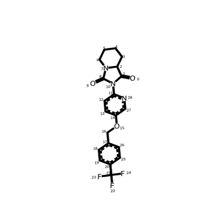 O=C1C2CCCCN2C(=O)N1c1ccc(OCc2ccc(C(F)(F)F)cc2)cn1